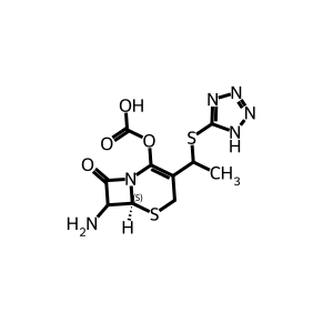 CC(Sc1nnn[nH]1)C1=C(OC(=O)O)N2C(=O)C(N)[C@@H]2SC1